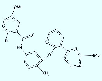 CNc1nccc(-c2cccnc2Oc2cc(NC(=O)c3cc(OC)ccc3Br)ccc2C)n1